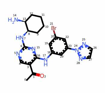 CC(=O)c1cnc(N[C@@H]2CCCC[C@@H]2N)nc1Nc1cc(Br)cc(-n2nccn2)c1